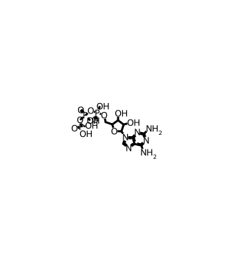 Nc1nc(N)c2ncn(C3OC(COP(=O)(O)OP(=O)(O)OP(=O)(O)O)C(O)C3O)c2n1